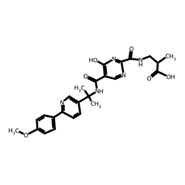 COc1ccc(-c2ccc(C(C)(C)NC(=O)c3cnc(C(=O)NCC(C)C(=O)O)nc3O)cn2)cc1